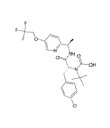 C[C@@H](NC(=O)[C@@H](Cc1ccc(Cl)cc1)N(C(=O)O)C(C)(C)C)c1ccc(OCC(F)(F)F)cn1